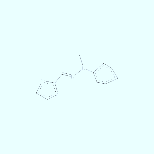 CN(/N=C/c1nccs1)c1ccccc1